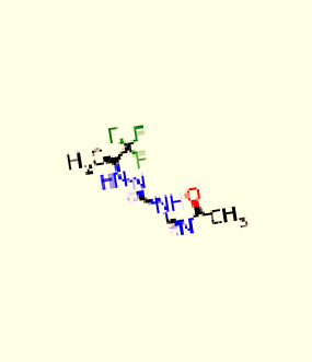 C=C(N/N=C/N/C=N\C(C)=O)C(F)(F)F